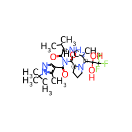 Cc1c(C(=O)N(C(=O)[C@@H](N)C(C)C)C(=O)[C@@H]2CCCN2[C@@H](C(C)C)C(O)(O)C(F)(F)F)cnn1C(C)(C)C